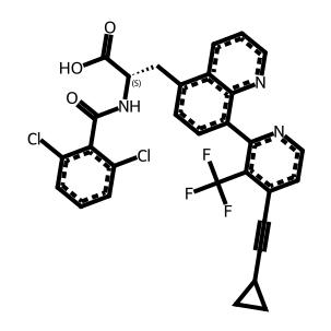 O=C(N[C@@H](Cc1ccc(-c2nccc(C#CC3CC3)c2C(F)(F)F)c2ncccc12)C(=O)O)c1c(Cl)cccc1Cl